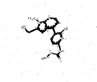 Cn1c(CO)cc2c(-c3ccc(NC(=O)OC(C)(C)C)nc3C#N)ccnc21